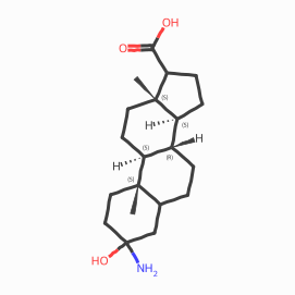 C[C@]12CCC(N)(O)CC1CC[C@@H]1[C@@H]2CC[C@]2(C)C(C(=O)O)CC[C@@H]12